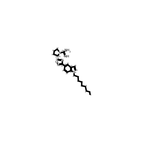 CCCCCCCCCn1ccc2cc(-c3noc([C@@H]4CCCN4C(=N)N)n3)ccc21